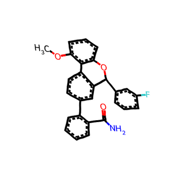 COc1cccc2c1-c1ccc(-c3ccccc3C(N)=O)cc1C(c1cccc(F)c1)O2